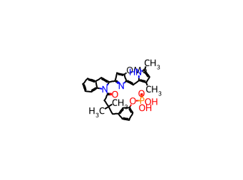 COC1=CC(c2cc3ccccc3n2C(=O)CC(C)(C)Cc2cccc(OP(=O)(O)O)c2)=N/C1=C/c1[nH]c(C)cc1C